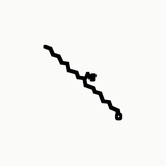 CCCCCCCCCCCCCCCCCC=O.[Ag]